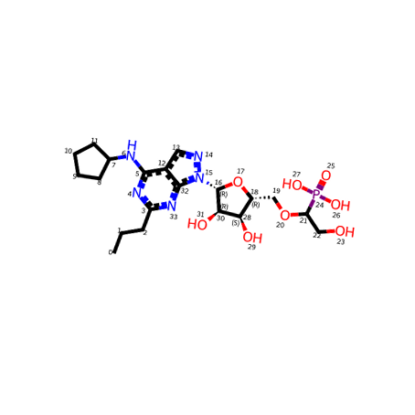 CCCc1nc(NC2CCCC2)c2cnn([C@@H]3O[C@H](COC(CO)P(=O)(O)O)[C@@H](O)[C@H]3O)c2n1